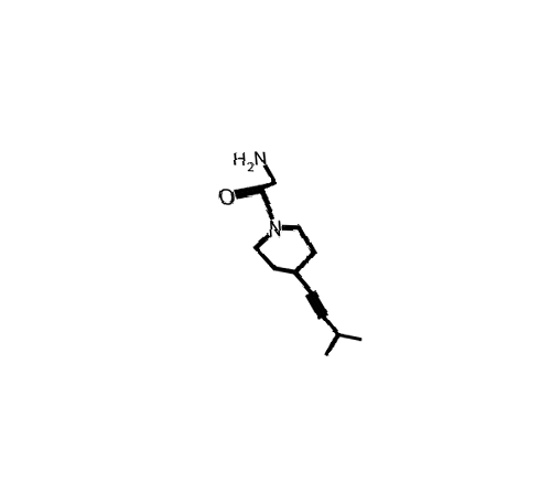 CC(C)C#CC1CCN(C(=O)CN)CC1